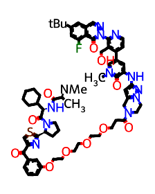 CN[C@@H](C)C(=O)N[C@H](C(=O)N1CCC[C@H]1c1nc(C(=O)c2cccc(OCCOCCOCCOCCC(=O)N3CCn4nc(Nc5cc(-c6ccnc(-n7ncc8cc(C(C)(C)C)cc(F)c8c7=O)c6CO)cn(C)c5=O)cc4C3)c2)cs1)C1CCCCC1